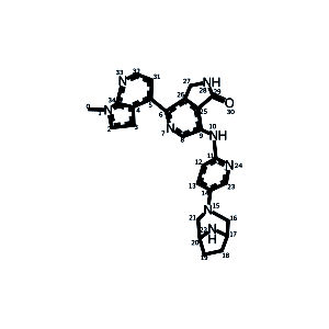 Cn1ccc2c(-c3ncc(Nc4ccc(N5CC6CCC(C5)N6)cn4)c4c3CNC4=O)ccnc21